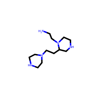 NCCN1CCNCC1CCN1CCNCC1